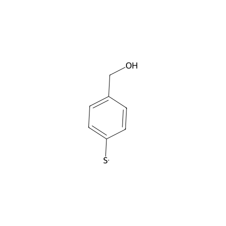 OCc1ccc([S])cc1